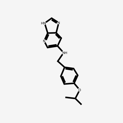 CC(C)Oc1ccc(CNc2cnc3[nH]cnc3c2)cc1